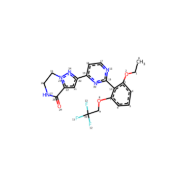 CCOc1cccc(OCC(F)(F)F)c1-c1nccc(-c2cc3n(n2)CCNC3=O)n1